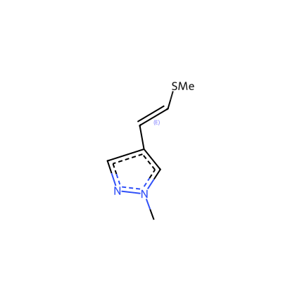 CS/C=C/c1cnn(C)c1